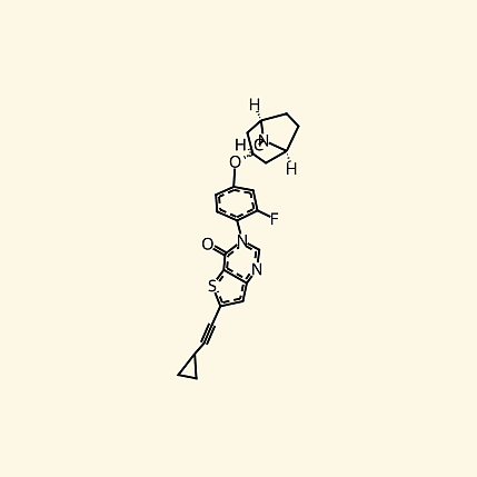 CN1[C@@H]2CC[C@H]1C[C@H](Oc1ccc(-n3cnc4cc(C#CC5CC5)sc4c3=O)c(F)c1)C2